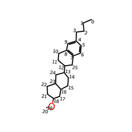 CCCCc1ccc2c(c1)CCC(C1CCC3CC(OC)CCC3C1)C2